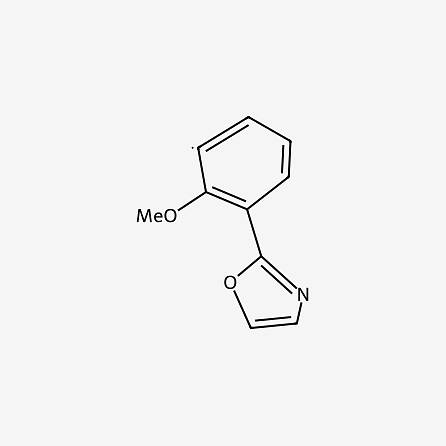 COc1[c]cccc1-c1ncco1